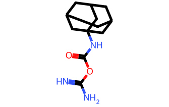 N=C(N)OC(=O)NC12CC3CC(CC(C3)C1)C2